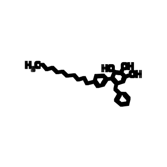 CCCCCCCCCCCc1ccc(-c2c(Cc3ccccc3)cc(O)c(O)c2O)cc1